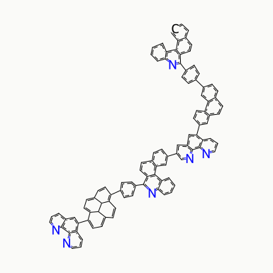 C1=CC2=C(c3ccc(-c4nc5ccccc5c5c4ccc4ccc(-c6cnc7c(c6)cc(-c6ccc8c(ccc9ccc(-c%10ccc(-c%11nc%12ccccc%12c%12c%11ccc%11ccccc%11%12)cc%10)cc98)c6)c6cccnc67)cc45)cc3)C=CC3=CC=C4C(c5cc6cccnc6c6ncccc56)=CC=C1C4C32